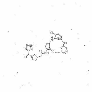 O=C(C[C@H]1CCN(C(=O)c2nn[nH]n2)C1)Nc1ccc2cc1CCc1cncc(c1)Nc1ncc(Cl)c(n1)N2